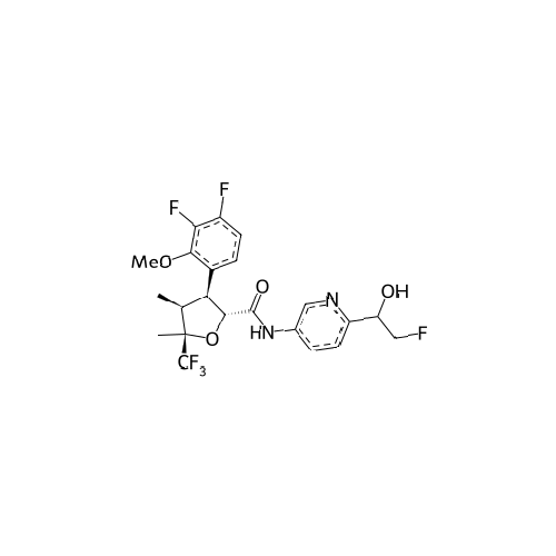 COc1c([C@H]2[C@H](C(=O)Nc3ccc(C(O)CF)nc3)O[C@@](C)(C(F)(F)F)[C@H]2C)ccc(F)c1F